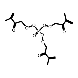 C=C(C)C(=O)COOP(=O)(OOCC(=O)C(=C)C)OOCC(=O)C(=C)C